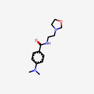 CN(C)c1ccc(C(=O)NCCN2CCOC2)cc1